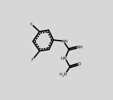 N=C(NC(N)=O)Nc1cc(F)cc(F)c1